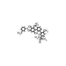 Cc1cccc(COc2cc(C)n(-c3cc(-c4nc(C(C)(C)O)ncc4C)ncc3C)c(=O)c2Cl)c1